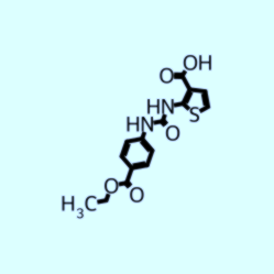 CCOC(=O)c1ccc(NC(=O)Nc2sccc2C(=O)O)cc1